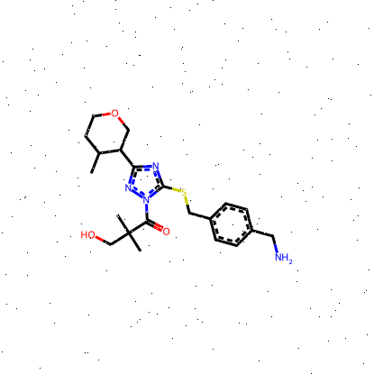 CC1CCOCC1c1nc(SCc2ccc(CN)cc2)n(C(=O)C(C)(C)CO)n1